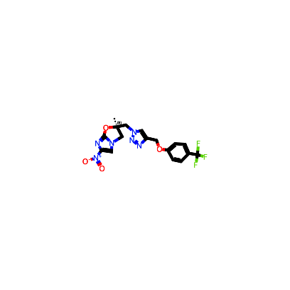 C[C@]1(Cn2cc(COc3ccc(C(F)(F)F)cc3)nn2)Cn2cc([N+](=O)[O-])nc2O1